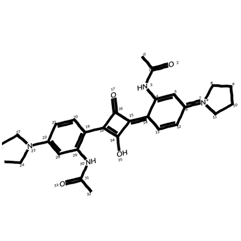 CC(=O)NC1=CC(=[N+]2CCCC2)C=C/C1=C1/C(=O)C(c2ccc(N3CCCC3)cc2NC(C)=O)=C1O